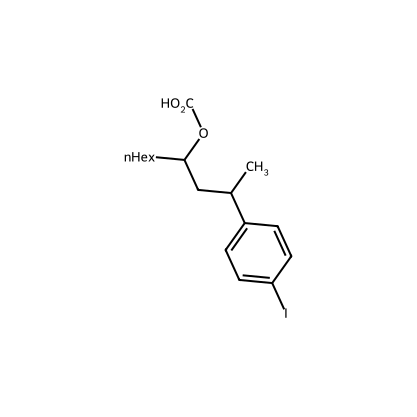 CCCCCCC(CC(C)c1ccc(I)cc1)OC(=O)O